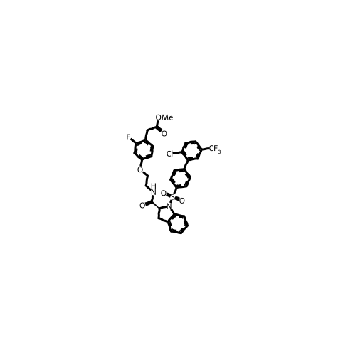 COC(=O)Cc1ccc(OCCNC(=O)[C@@H]2Cc3ccccc3N2S(=O)(=O)c2ccc(-c3cc(C(F)(F)F)ccc3Cl)cc2)cc1F